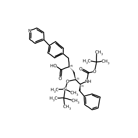 CC(C)(C)OC(=O)N[C@@H](Cc1ccccc1)[C@H](C[C@@H](Cc1ccc(-c2ccncc2)cc1)C(=O)O)O[Si](C)(C)C(C)(C)C